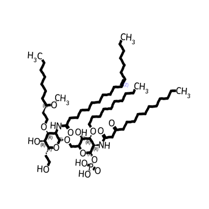 CCCCCC/C=C\CCCCCCCCCC(=O)NC1[C@H](OCC2O[C@H](OP(=O)(O)O)[C@H](NC(=O)CC(=O)CCCCCCCCCCC)[C@@H](OCCCCCCCCCC)[C@@H]2O)O[C@H](CCO)[C@@H](O)[C@@H]1OCC[C@@H](CCCCCCC)OC